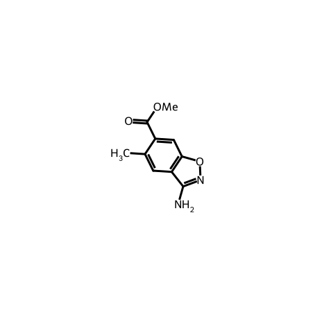 COC(=O)c1cc2onc(N)c2cc1C